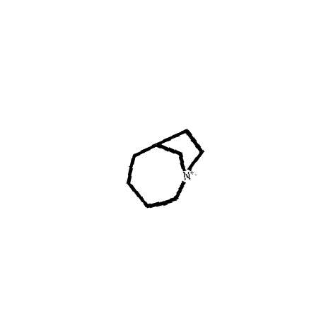 C1CC[N+]2CCC(C1)C2